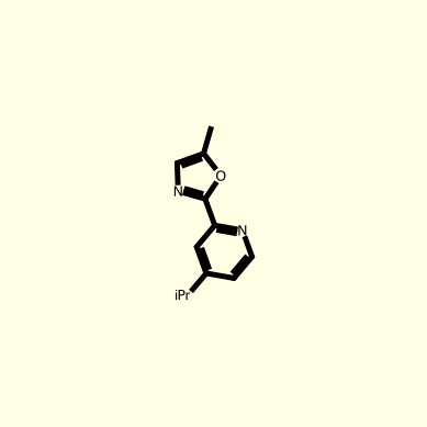 Cc1cnc(-c2cc(C(C)C)ccn2)o1